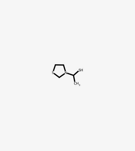 CC(S)N1CCSC1